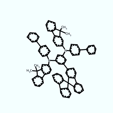 CC1(C)c2ccccc2-c2ccc(N(c3ccc(-c4ccccc4)cc3)c3cc(-c4ccc5c(c4)C4(c6ccccc6-c6ccccc64)c4ccccc4-5)cc(N(c4ccc(-c5ccccc5)cc4)c4ccc5c(c4)C(C)(C)c4ccccc4-5)c3)cc21